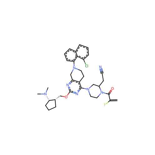 C=C(F)C(=O)N1CCN(c2nc(OC[C@@H]3CCC[C@@H]3N(C)C)nc3c2CCN(c2cccc4cccc(Cl)c24)C3)CC1CC#N